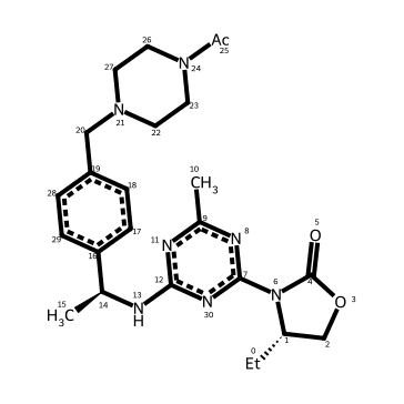 CC[C@H]1COC(=O)N1c1nc(C)nc(N[C@@H](C)c2ccc(CN3CCN(C(C)=O)CC3)cc2)n1